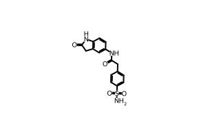 NS(=O)(=O)c1ccc(CC(=O)Nc2ccc3c(c2)CC(=O)N3)cc1